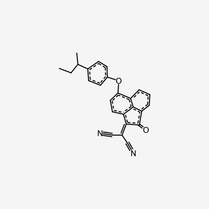 CCC(C)c1ccc(Oc2ccc3c(=C(C#N)C#N)c(=O)c4cccc2c43)cc1